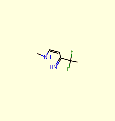 CN/C=C\C(=N)C(C)(F)F